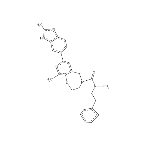 Cc1nc2ccc(-c3cc(C)c4c(c3)CN(C(=O)N(C)CCc3ccccc3)CCO4)cc2[nH]1